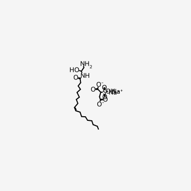 CCCCCCCC/C=C\CCCCCCCC(=O)NC(O)CN.O=C([O-])CC(C(=O)[O-])S(=O)(=O)O.[Na+].[Na+]